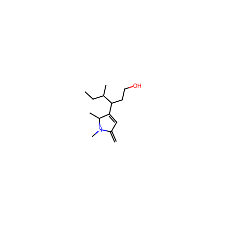 C=C1C=C(C(CCO)C(C)CC)C(C)N1C